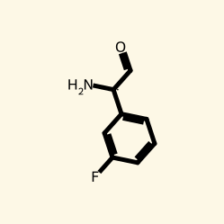 N[C](C=O)c1cccc(F)c1